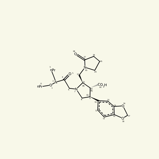 CCCON(CCC)C(=O)CN1C[C@H](c2ccc3c(c2)OCO3)[C@@H](C(=O)O)[C@@H]1CN1CCCC1=O